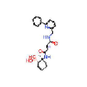 CC[C@]1(NC(=O)/C=C/C(=O)NCc2cccc(-c3ccccc3)n2)C=CC=CC1B(O)O